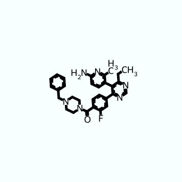 CCc1ncnc(-c2ccc(C(=O)N3CCN(Cc4ccccc4)CC3)c(F)c2)c1-c1ccc(N)nc1C